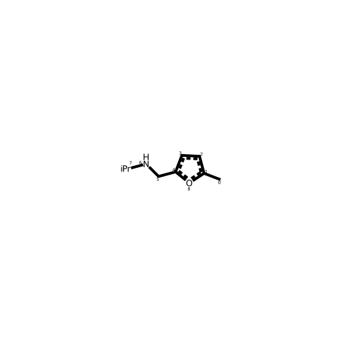 Cc1ccc(CNC(C)C)o1